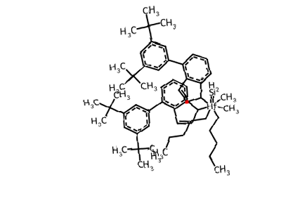 CCCC[CH2][Hf]([CH3])([CH3])(=[SiH2])([CH2]CCCC)([CH]1C=Cc2c(-c3cc(C(C)(C)C)cc(C(C)(C)C)c3)cccc21)[CH]1C=Cc2c(-c3cc(C(C)(C)C)cc(C(C)(C)C)c3)cccc21